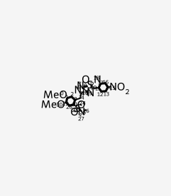 COc1cc(Cc2nnc3sc(-c4ccc([N+](=O)[O-])cc4[N+](=O)[O-])nn23)c(S(=O)(=O)N(C)C)cc1OC